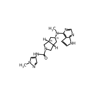 CN(c1ncnc2[nH]ccc12)[C@H]1C[C@@H]2CN(C(=O)Nc3cnn(C)c3)C[C@@H]2C1